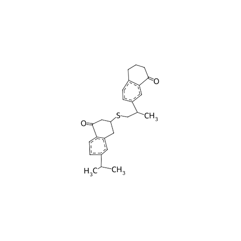 CC(C)c1ccc2c(c1)CC(SCC(C)c1ccc3c(c1)C(=O)CCC3)CC2=O